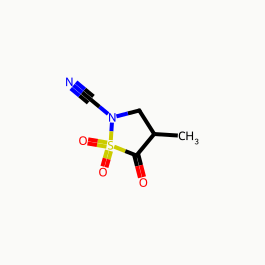 CC1CN(C#N)S(=O)(=O)C1=O